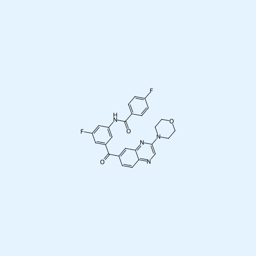 O=C(Nc1cc(F)cc(C(=O)c2ccc3ncc(N4CCOCC4)nc3c2)c1)c1ccc(F)cc1